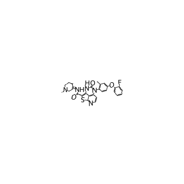 Cc1cc(Oc2ccccc2F)ccc1N1C(=O)Nc2c(C(=O)N[C@H]3CCCN(C)C3)sc3nccc1c23